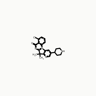 CC1(C)c2ncc(C3CCNCC3)cc2-n2c1nc(=O)c1c(Cl)cccc12